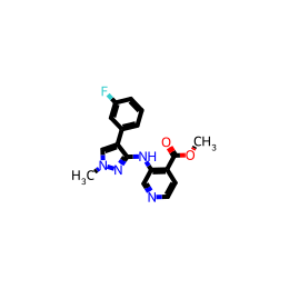 COC(=O)c1ccncc1Nc1nn(C)cc1-c1cccc(F)c1